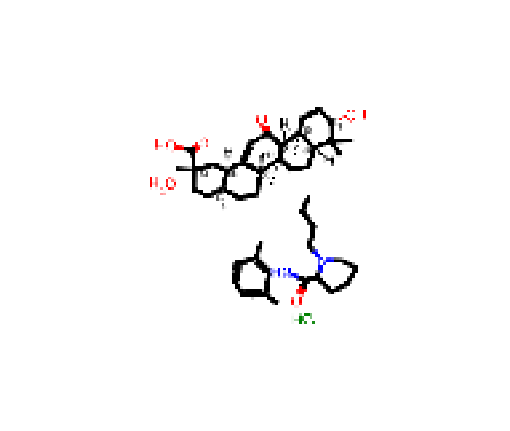 CC1(C)[C@@H](O)CC[C@]2(C)[C@H]3C(=O)C=C4[C@@H]5C[C@@](C)(C(=O)O)CC[C@]5(C)CC[C@@]4(C)[C@]3(C)CC[C@@H]12.CCCCN1CCCCC1C(=O)Nc1c(C)cccc1C.Cl.O